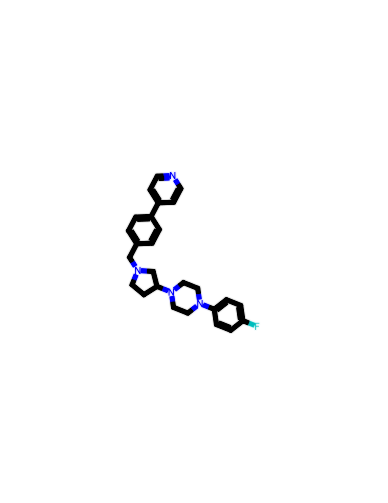 Fc1ccc(N2CCN(C3CCN(Cc4ccc(-c5ccncc5)cc4)C3)CC2)cc1